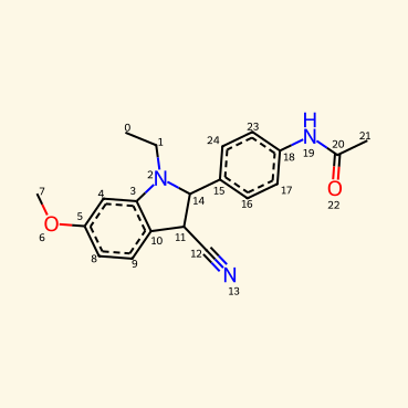 CCN1c2cc(OC)ccc2C(C#N)C1c1ccc(NC(C)=O)cc1